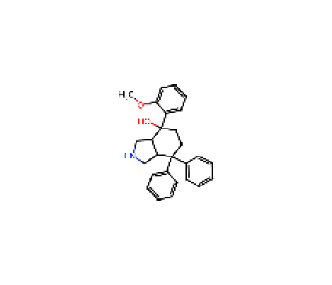 COc1ccccc1C1(O)CCC(c2ccccc2)(c2ccccc2)C2CNCC21